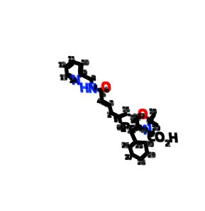 CC(C)[C@@H](CC=CC(=O)NCc1ccccn1)C[C@@H]1OC(C)(C)N(C(=O)O)[C@H]1CC1CCCCC1